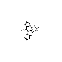 Cc1ccccc1-c1c(O)c2ncsc2n(CC(F)F)c1=O